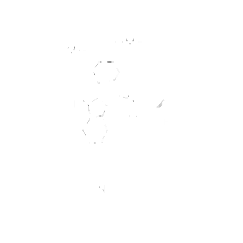 C#CC(C)ON=C1c2cc(OC)c(OC)cc2-c2[nH]c3ccc(OCCN(C)C)cc3c21.Cl